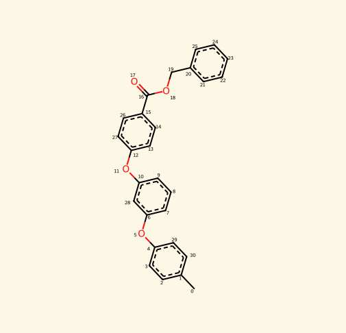 Cc1ccc(Oc2cccc(Oc3ccc(C(=O)OCc4ccccc4)cc3)c2)cc1